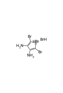 Br.Br.Nc1c(Br)sc(Br)c1N